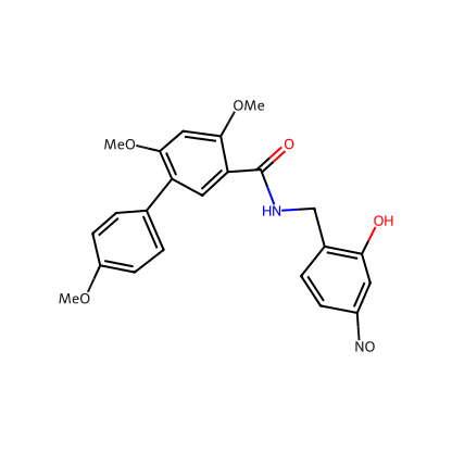 COc1ccc(-c2cc(C(=O)NCc3ccc(N=O)cc3O)c(OC)cc2OC)cc1